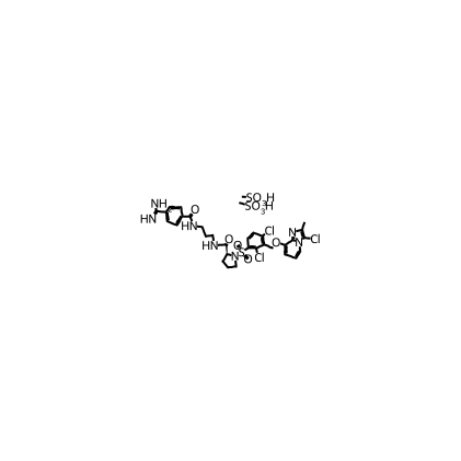 CS(=O)(=O)O.CS(=O)(=O)O.Cc1nc2c(OCc3c(Cl)ccc(S(=O)(=O)N4CCC[C@H]4C(=O)NCCCNC(=O)c4ccc(C(=N)N)cc4)c3Cl)cccn2c1Cl